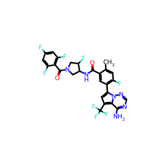 Cc1cc(F)c(-c2cc(C(F)(F)F)c3c(N)ncnn23)cc1C(=O)NC1CN(C(=O)c2c(F)cc(F)cc2F)CC1F